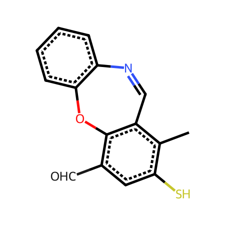 Cc1c(S)cc(C=O)c2c1C=Nc1ccccc1O2